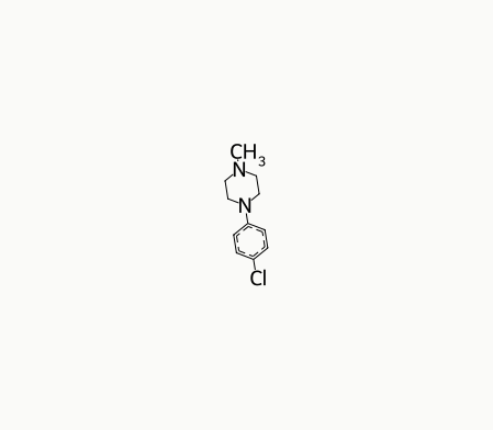 CN1CCN(c2ccc(Cl)cc2)CC1